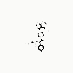 CC1OC(=O)Nc2ncnc(N3CCN(C(=O)[C@H](CN(C(=O)OC(C)(C)C)C(C)C)c4ccc(Cl)cc4)CC3)c21